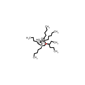 CCCCC[Si](CCCCC)(CCCCC)[Cr](=[O])(=[O])([OH])([OH])[Si](CCCCC)(CCCCC)CCCCC